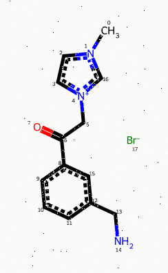 Cn1cc[n+](CC(=O)c2cccc(CN)c2)c1.[Br-]